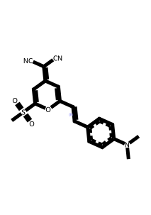 CN(C)c1ccc(/C=C/C2=CC(=C(C#N)C#N)C=C(S(C)(=O)=O)O2)cc1